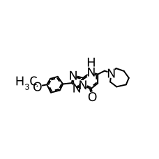 COc1ccc(-c2nc3[nH]c(CN4CCCCCC4)cc(=O)n3n2)cc1